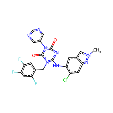 Cn1cc2cc(Nc3nc(=O)n(-c4cncnc4)c(=O)n3Cc3cc(F)c(F)cc3F)c(Cl)cc2n1